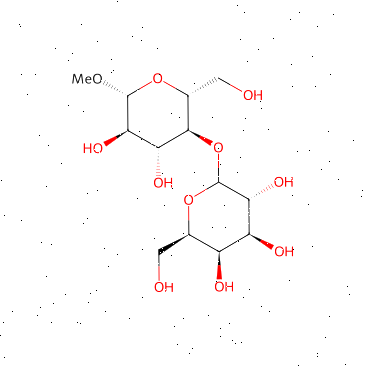 CO[C@@H]1O[C@H](CO)[C@@H](OC2O[C@H](CO)[C@H](O)[C@H](O)[C@H]2O)[C@H](O)[C@H]1O